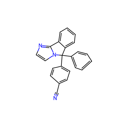 N#Cc1ccc(C2(c3ccccc3)c3ccccc3-c3nccn32)cc1